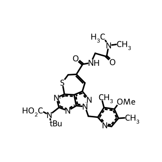 COc1c(C)cnc(Cn2nc3c4c(nc(N(C(=O)O)C(C)(C)C)nc42)SCC(C(=O)NCC(=O)N(C)C)=C3)c1C